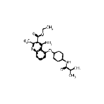 CCOC(=O)c1c(C)nc2cccc(OC3CCC(NC(=O)C(C)C)CC3)c2c1N